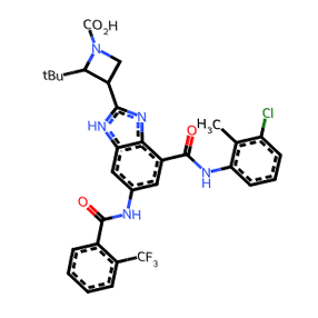 Cc1c(Cl)cccc1NC(=O)c1cc(NC(=O)c2ccccc2C(F)(F)F)cc2[nH]c(C3CN(C(=O)O)C3C(C)(C)C)nc12